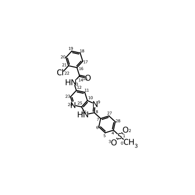 CS(=O)(=O)c1ccc(-c2nc3cc(NC(=O)c4ccccc4Cl)cnc3[nH]2)cc1